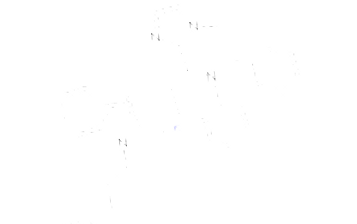 Cn1ccnc1C1=C/C(=C\c2sc3ccccc3[n+]2CCCS(=O)(=O)O)c2ccccc2N1Cc1ccccc1